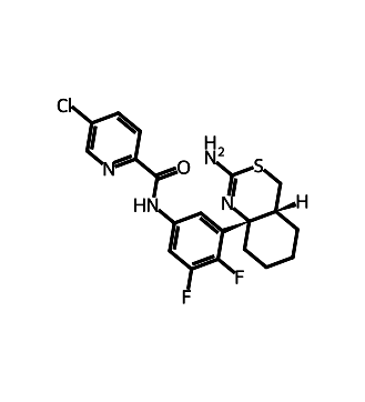 NC1=N[C@@]2(c3cc(NC(=O)c4ccc(Cl)cn4)cc(F)c3F)CCCC[C@H]2CS1